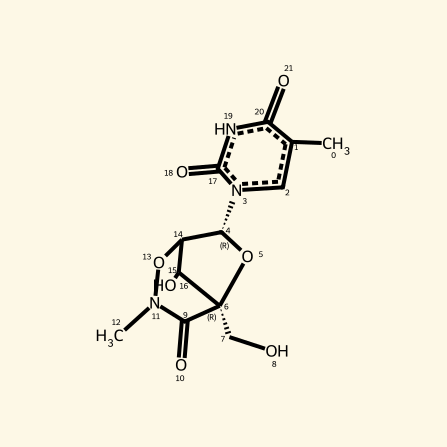 Cc1cn([C@@H]2O[C@@]3(CO)C(=O)N(C)OC2C3O)c(=O)[nH]c1=O